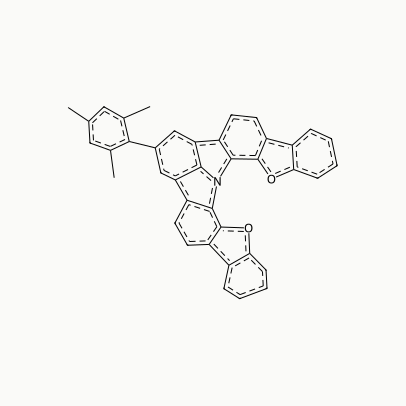 Cc1cc(C)c(-c2cc3c4ccc5c6ccccc6oc5c4n4c3c(c2)c2ccc3c5ccccc5oc3c24)c(C)c1